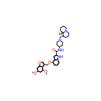 COc1cc(OC)c2c(COc3cccc4[nH]c(C(=O)NC5CCN(C[C@@H]6CCCN7CCCC[C@H]67)CC5)cc34)coc2c1